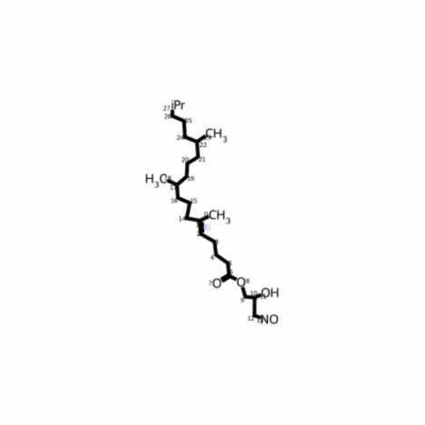 C/C(=C\CCCC(=O)OCC(O)CN=O)CCCC(C)CCCC(C)CCCC(C)C